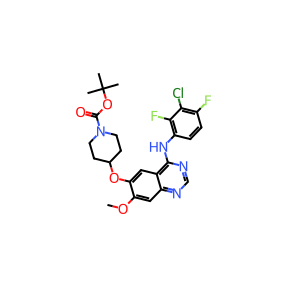 COc1cc2ncnc(Nc3ccc(F)c(Cl)c3F)c2cc1OC1CCN(C(=O)OC(C)(C)C)CC1